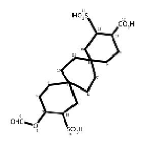 O=COC1CCC2(CCC3(CCC(C(=O)O)C(S(=O)(=O)O)C3)CC2)CC1S(=O)(=O)O